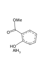 COC(=O)c1ccccc1O.[AlH3]